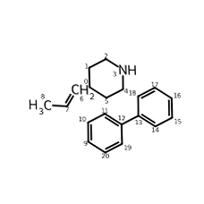 C1CCNCC1.C=CC.c1ccc(-c2ccccc2)cc1